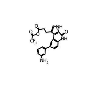 Nc1cccc(-c2ccc3[nH]c(=O)c4[nH]cc(CCC(=O)OC(=O)C(F)(F)F)c4c3c2)c1